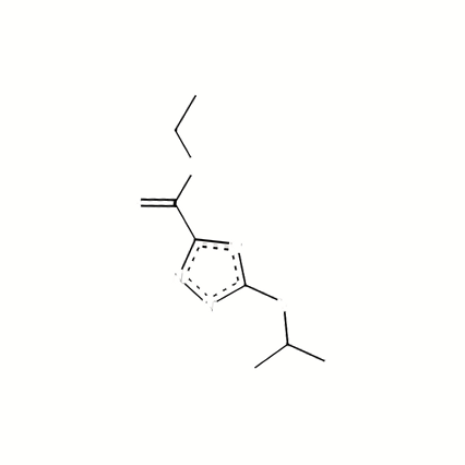 CCOC(=O)c1nnc(SC(C)C)o1